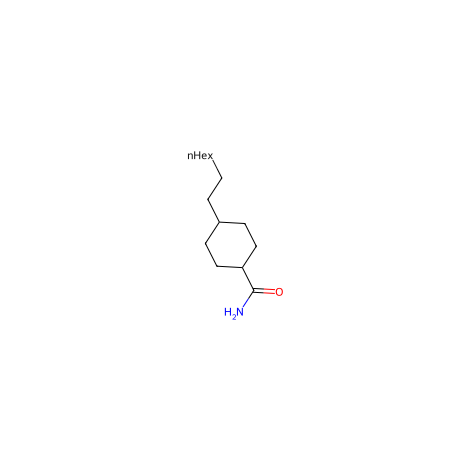 CCCCCCCCC1CCC(C(N)=O)CC1